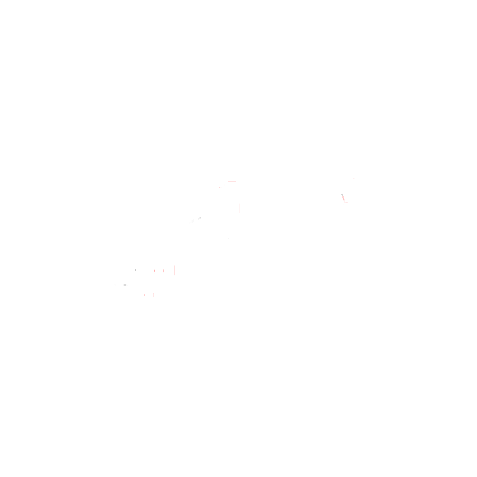 O=C(O)CCCCCCCCCCCCCCCCCC1(C(O)O)C=CCCC1.OC(O)C1C=CCCC1